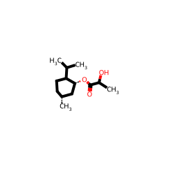 CC(O)C(=O)O[C@@H]1C[C@H](C)CCC1C(C)C